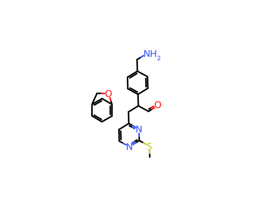 CSc1nccc(CC(C=O)c2ccc(CN)cc2)n1.c1cc2cc(c1)OC2